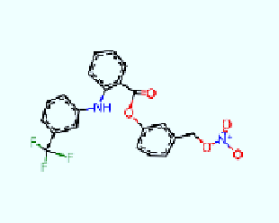 O=C(Oc1cccc(CO[N+](=O)[O-])c1)c1ccccc1Nc1cccc(C(F)(F)F)c1